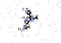 Cc1cc(C(F)F)n(-c2cc(Nc3c(C)c(-c4ccc(C(F)(F)F)nc4)nn3CC3CC3)ncn2)n1